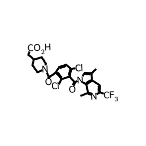 Cc1cn(C(=O)c2c(Cl)ccc(C(=O)N3CCC(CC(=O)O)CC3)c2Cl)c2c(C)nc(C(F)(F)F)cc12